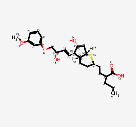 CCCC(CC[C@H]1CC[C@@H]2[C@@H](C=C[C@@H](O)COc3cccc(OC)c3)[C@H](O)C[C@@H]2S1)C(=O)O